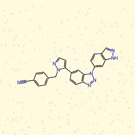 N#Cc1ccc(Cn2nccc2-c2ccc3nnn(-c4ccc5cn[nH]c5c4)c3c2)cc1